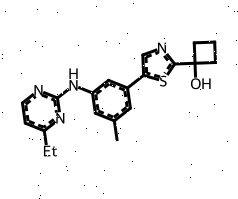 CCc1ccnc(Nc2cc(C)cc(-c3cnc(C4(O)CCC4)s3)c2)n1